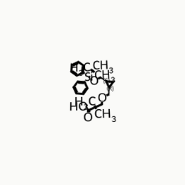 CC(C)(COC[C@@H]1C[C@@H]1CO[Si](c1ccccc1)(c1ccccc1)C(C)(C)C)C(=O)O